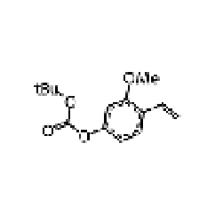 C=Cc1ccc(OC(=O)OC(C)(C)C)cc1OC